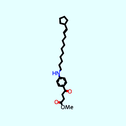 COC(=O)CCC(=O)c1ccc(NCCCCCCCCCC=CC2CCCC2)cc1